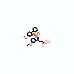 CCOc1ccc2c(c1)c(CCC(=O)O)cn2S(=O)(=O)c1ccccc1-c1ccc(OC)cc1